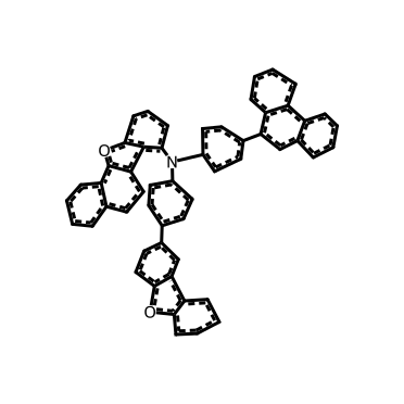 c1ccc2c(c1)cc(-c1ccc(N(c3ccc(-c4ccc5oc6ccccc6c5c4)cc3)c3cccc4oc5c6ccccc6ccc5c34)cc1)c1ccccc12